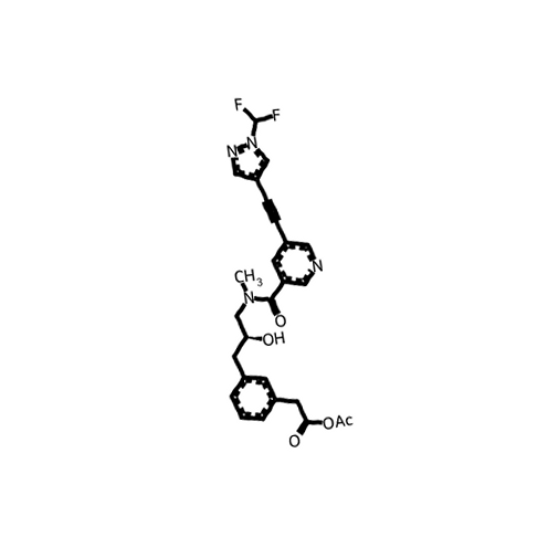 CC(=O)OC(=O)Cc1cccc(C[C@H](O)CN(C)C(=O)c2cncc(C#Cc3cnn(C(F)F)c3)c2)c1